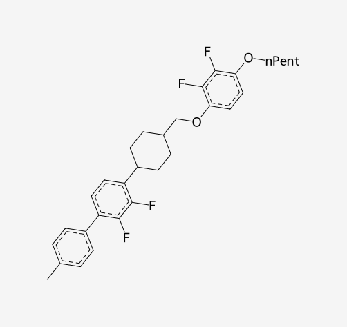 CCCCCOc1ccc(OCC2CCC(c3ccc(-c4ccc(C)cc4)c(F)c3F)CC2)c(F)c1F